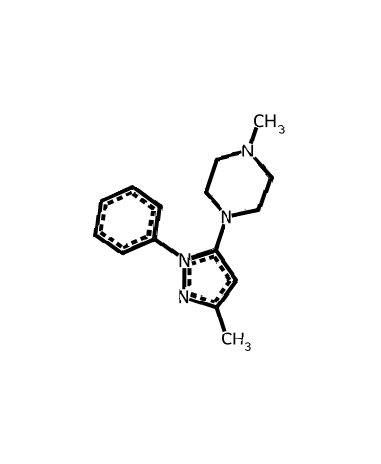 Cc1cc(N2CCN(C)CC2)n(-c2ccccc2)n1